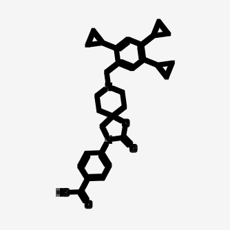 O=C(O)c1ccc(N2CC3(CCN(Cc4cc(C5CC5)c(C5CC5)cc4C4CC4)CC3)OC2=O)cc1